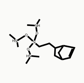 C[SiH](C)O[Si](CCC1CC2C=CC1C2)(O[SiH](C)C)O[SiH](C)C